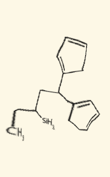 CCC([SiH3])CC(C1=CC=CC1)C1=CC=CC1